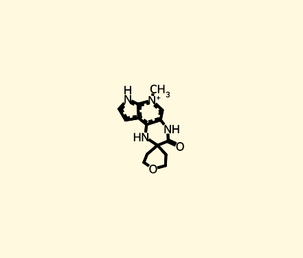 C[n+]1cc2c(c3cc[nH]c31)NC1(CCOCC1)C(=O)N2